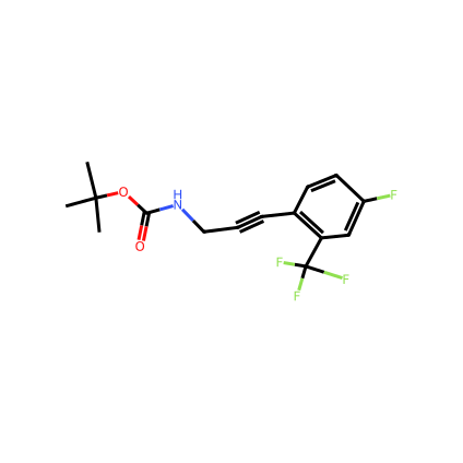 CC(C)(C)OC(=O)NCC#Cc1ccc(F)cc1C(F)(F)F